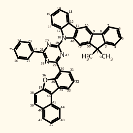 CC1(C)c2ccccc2-c2cc3c4ccccc4n(-c4nc(-c5ccccc5)nc(-c5cccc6c5oc5ccc7ccccc7c56)n4)c3cc21